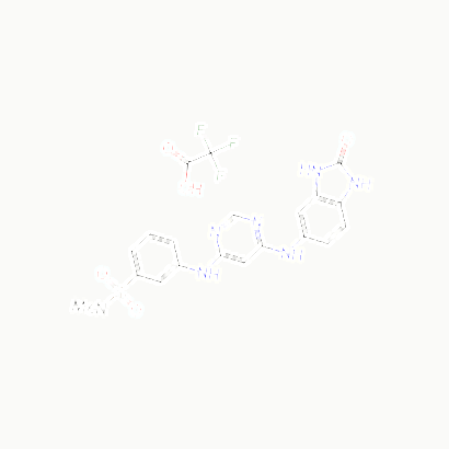 CNS(=O)(=O)c1cccc(Nc2cc(Nc3ccc4[nH]c(=O)[nH]c4c3)ncn2)c1.O=C(O)C(F)(F)F